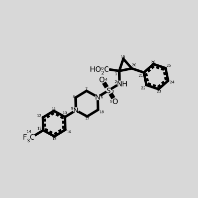 O=C(O)C1(NS(=O)(=O)N2CCN(c3ccc(C(F)(F)F)cc3)CC2)CC1c1ccccc1